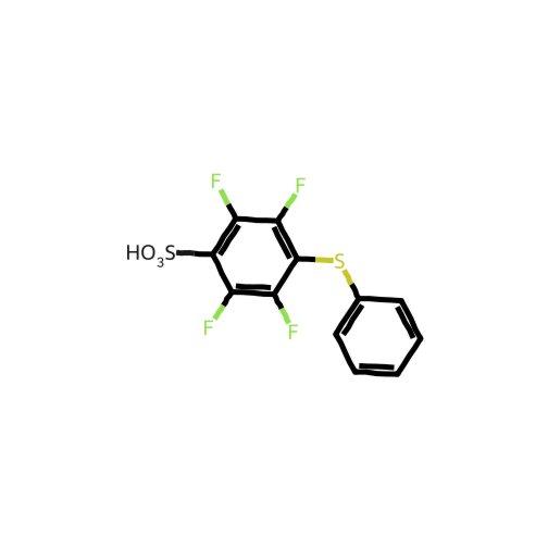 O=S(=O)(O)c1c(F)c(F)c(Sc2ccccc2)c(F)c1F